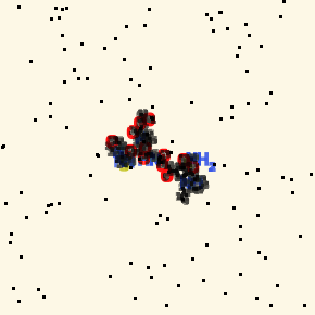 CCCCNc1cc(C(=O)COC(=O)NCC(=O)O[C@H](COc2nsnc2N2CCOCC2)CN(C(=O)COC(C)=O)C(C)(C)C)cc(S(N)(=O)=O)c1Cc1ccccc1